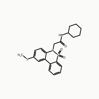 CSc1ccc2c(c1)-c1ccccc1S(=O)(=O)N2CC(=O)NC1CCCCC1